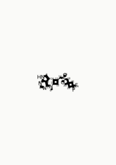 CN(c1ncnc2[nH]ccc12)[C@H]1C[C@H](CS(=O)(=O)CC2(C)CC(F)(F)C2)C1